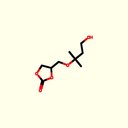 CC(C)(CCO)OCC1COC(=O)O1